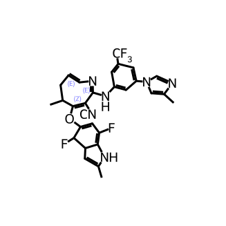 CC1=CC2C(=C(F)C=C(O/C3=C(C#N)/C(Nc4cc(-n5cnc(C)c5)cc(C(F)(F)F)c4)=N\C=C\CC3C)C2F)N1